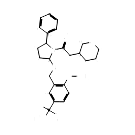 COc1ccc(C(C)(C)C)cc1CNC1CCC(c2ccccc2)N1C(=O)CC1CCCOC1